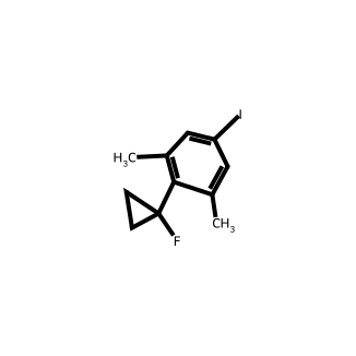 Cc1cc(I)cc(C)c1C1(F)CC1